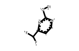 CCOc1nc[c]c(C(F)F)n1